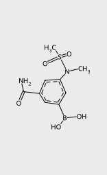 CN(c1cc(B(O)O)cc(C(N)=O)c1)S(C)(=O)=O